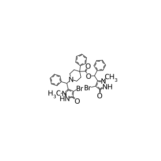 Cn1[nH]c(=O)c(Br)c1C(OC(=O)C1(c2ccccc2)CCN(C(c2ccccc2)c2c(Br)c(=O)[nH]n2C)CC1)c1ccccc1